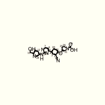 N#Cc1cc(-c2ccnc(Nc3ccc(CO)nc3)n2)ccc1O[C@@H]1CCN(C(=O)O)C1